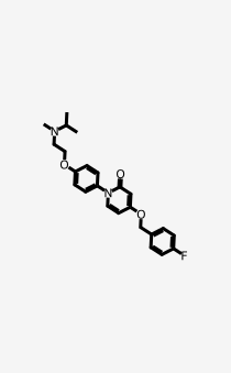 CC(C)N(C)CCOc1ccc(-n2ccc(OCc3ccc(F)cc3)cc2=O)cc1